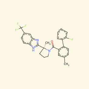 Cc1ccc(-c2ccccc2F)c(C(=O)N2CCC[C@@]2(C)c2nc3cc(C(F)(F)F)ccc3[nH]2)c1